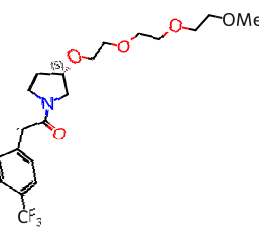 COCCOCCOCCO[C@H]1CCN(C(=O)[CH]c2ccc(C(F)(F)F)cc2)C1